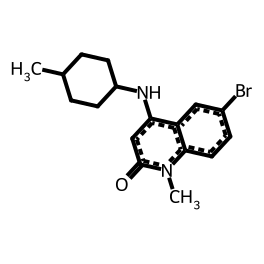 CC1CCC(Nc2cc(=O)n(C)c3ccc(Br)cc23)CC1